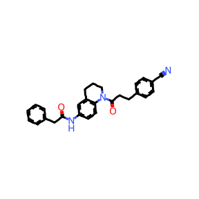 N#Cc1ccc(CCC(=O)N2CCCc3cc(NC(=O)Cc4ccccc4)ccc32)cc1